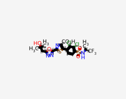 C[C@H](NS(=O)(=O)c1ccc(-c2sc(-c3nnc(CC(C)(C)O)o3)nc2C(=O)O)c(Cl)c1Cl)C(F)(F)F